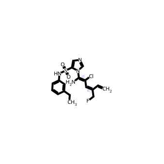 C=C/C(=C\C(Cl)=C(/N)n1cncc1S(=O)(=O)Nc1cccc(CC)c1)CF